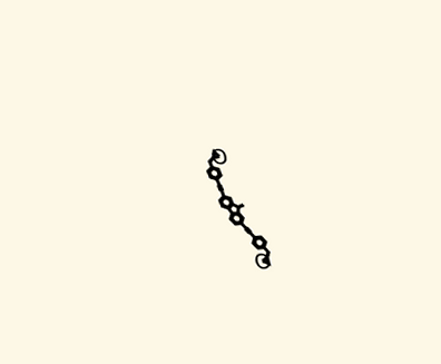 CC1c2cc(C#Cc3ccc(CC4CO4)cc3)ccc2-c2ccc(C#Cc3ccc(CC4CO4)cc3)cc21